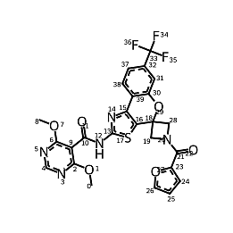 COc1ncnc(OC)c1C(=O)Nc1nc2c(s1)C1(CN(C(=O)c3ccco3)C1)Oc1cc(C(F)(F)F)ccc1-2